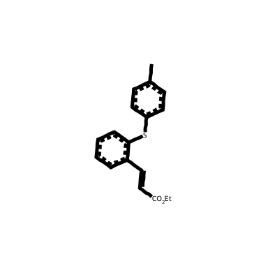 CCOC(=O)/C=C/c1ccccc1Sc1ccc(C)cc1